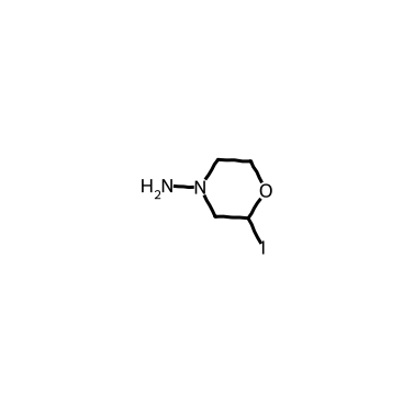 NN1CCOC(I)C1